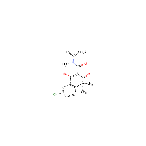 CC[C@@H](C(=O)O)N(C)C(=O)C1=C(O)c2cc(Cl)ccc2C(C)(C)C1=O